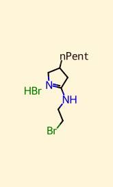 Br.CCCCCC1CN=C(NCCBr)C1